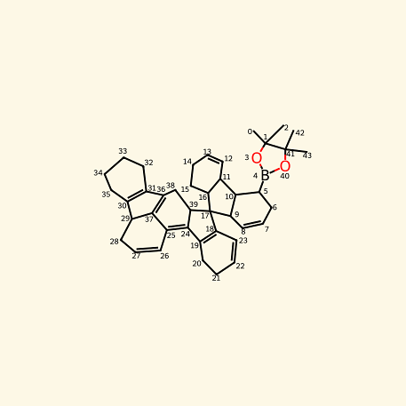 CC1(C)OB(C2CC=CC3C2C2C=CCCC2C32C3=C(CCC=C3)C3=C4C=CCC5C6=C(CCCC6)C(=C45)CC32)OC1(C)C